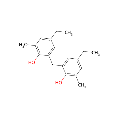 CCc1cc(C)c(O)c(Cc2cc(CC)cc(C)c2O)c1